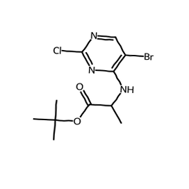 CC(Nc1nc(Cl)ncc1Br)C(=O)OC(C)(C)C